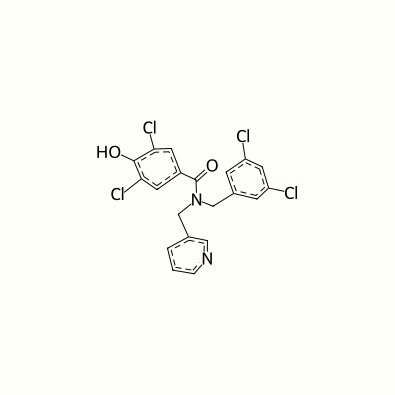 O=C(c1cc(Cl)c(O)c(Cl)c1)N(Cc1cccnc1)Cc1cc(Cl)cc(Cl)c1